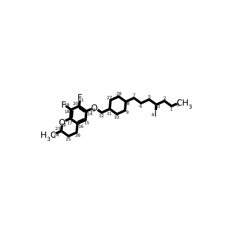 CCCC(I)CCCC1CCC(COc2cc3c(c(F)c2F)OC(C)CC3)CC1